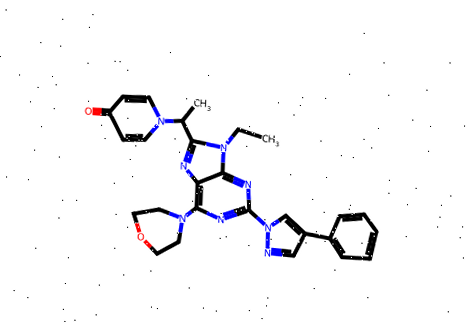 CCn1c(C(C)n2ccc(=O)cc2)nc2c(N3CCOCC3)nc(-n3cc(-c4ccccc4)cn3)nc21